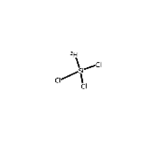 [2H][Si](Cl)(Cl)Cl